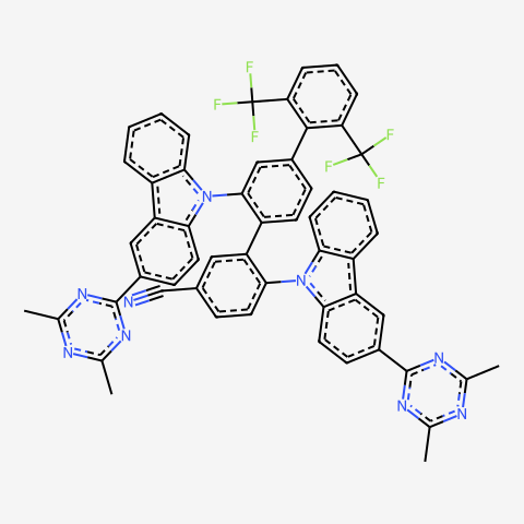 Cc1nc(C)nc(-c2ccc3c(c2)c2ccccc2n3-c2ccc(C#N)cc2-c2ccc(-c3c(C(F)(F)F)cccc3C(F)(F)F)cc2-n2c3ccccc3c3cc(-c4nc(C)nc(C)n4)ccc32)n1